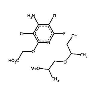 COC(C)COC(C)CO.Nc1c(Cl)c(F)nc(OCC(=O)O)c1Cl